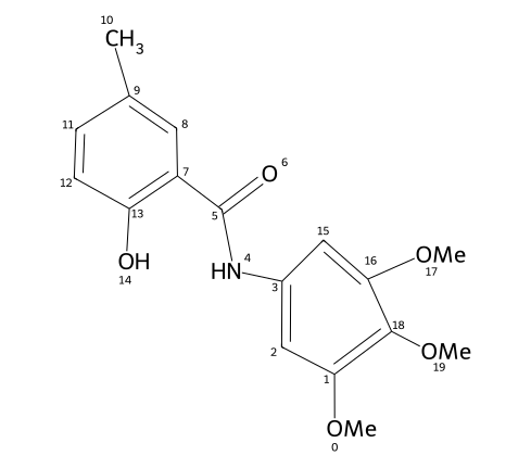 COc1cc(NC(=O)c2cc(C)ccc2O)cc(OC)c1OC